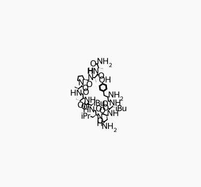 CC[C@H](C)[C@H](NC(=O)[C@H](CC(C)C)NC(=O)[C@H](CC(N)=O)NC(=O)[C@@H](NC(=O)[C@@H](N)Cc1ccc(O)cc1)[C@@H](C)CC)C(=O)N[C@H](C(=O)N[C@@H](C)C(=O)N1CCC[C@H]1C(=O)N[C@@H](C)C(=O)N[C@@H](C)C(N)=O)[C@@H](C)O